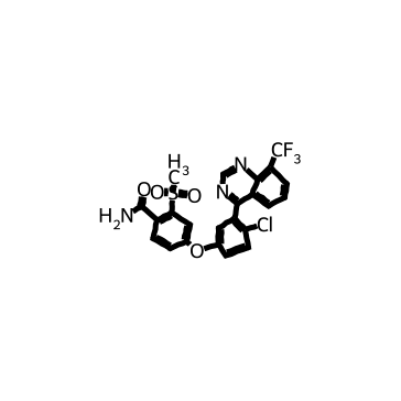 CS(=O)(=O)c1cc(Oc2ccc(Cl)c(-c3ncnc4c(C(F)(F)F)cccc34)c2)ccc1C(N)=O